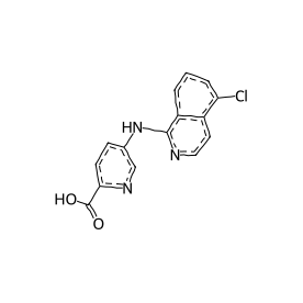 O=C(O)c1ccc(Nc2nccc3c(Cl)cccc23)cn1